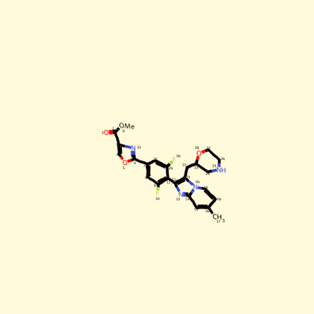 COC(=O)c1coc(-c2cc(F)c(-c3nc4cc(C)ccn4c3CC3CNCCO3)c(F)c2)n1